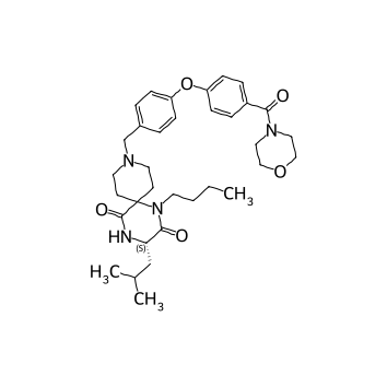 CCCCN1C(=O)[C@H](CC(C)C)NC(=O)C12CCN(Cc1ccc(Oc3ccc(C(=O)N4CCOCC4)cc3)cc1)CC2